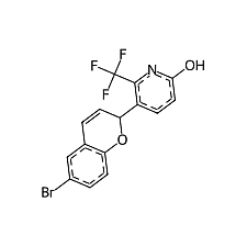 Oc1ccc(C2C=Cc3cc(Br)ccc3O2)c(C(F)(F)F)n1